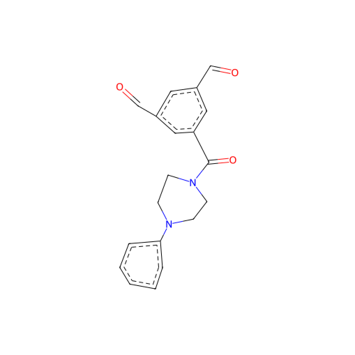 O=Cc1cc(C=O)cc(C(=O)N2CCN(c3ccccc3)CC2)c1